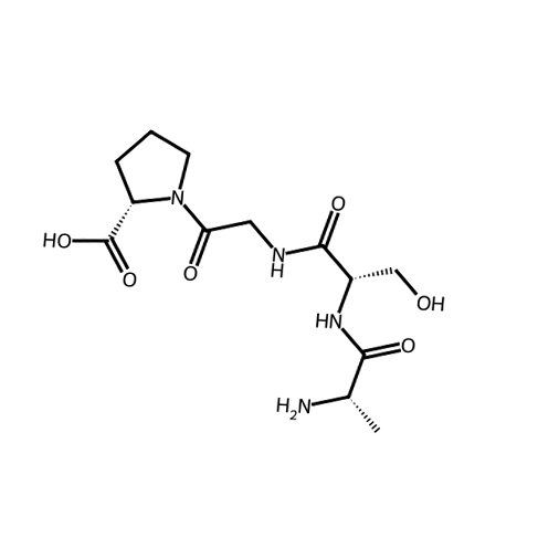 C[C@H](N)C(=O)N[C@@H](CO)C(=O)NCC(=O)N1CCC[C@H]1C(=O)O